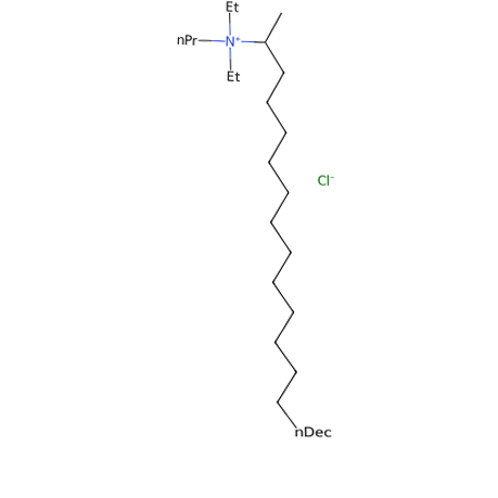 CCCCCCCCCCCCCCCCCCCCCCC(C)[N+](CC)(CC)CCC.[Cl-]